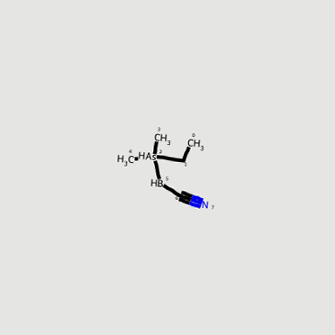 CC[AsH](C)(C)BC#N